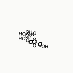 O=NCC1OC(Oc2ccc3c(=O)c(-c4ccc(O)cc4)coc3c2)C(O)C(O)=C1O